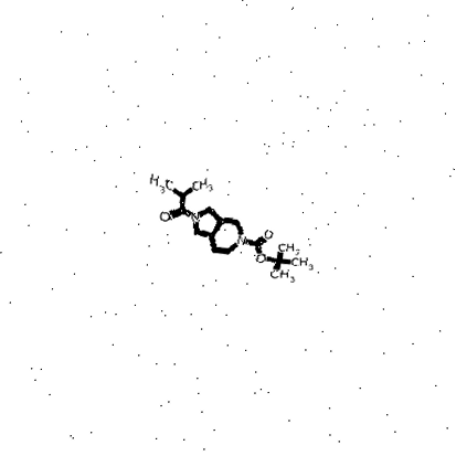 CC(C)C(=O)N1CC2CCN(C(=O)OC(C)(C)C)CC2C1